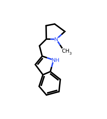 CN1CCCC1Cc1cc2ccccc2[nH]1